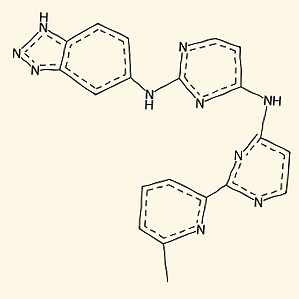 Cc1cccc(-c2nccc(Nc3ccnc(Nc4ccc5[nH]nnc5c4)n3)n2)n1